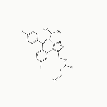 C=CCC(CC)NCc1nnc(CN(C)C)n1-c1cc(F)ccc1C(=O)c1ccc(F)cc1